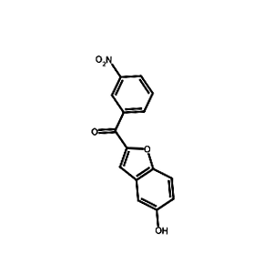 O=C(c1cccc([N+](=O)[O-])c1)c1cc2cc(O)ccc2o1